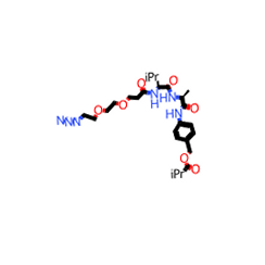 CC(C)C(=O)OCc1ccc(NC(=O)[C@H](C)NC(=O)[C@@H](NC(=O)CCOCCOCCN=[N+]=[N-])C(C)C)cc1